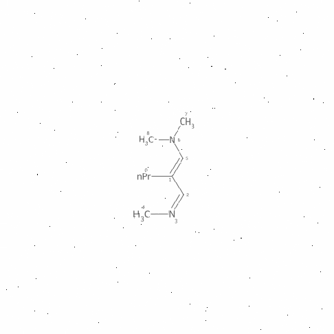 CCCC(/C=N\C)=C\N(C)C